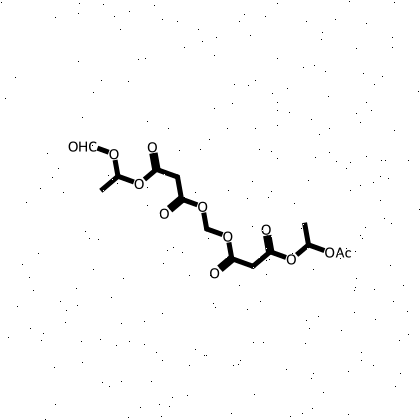 CC(=O)OC(C)OC(=O)CC(=O)OCOC(=O)CC(=O)OC(C)OC=O